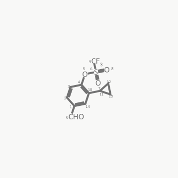 O=Cc1ccc(OS(=O)(=O)C(F)(F)F)c(C2CC2)c1